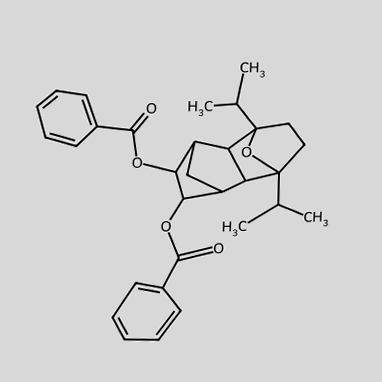 CC(C)C12CCC(C(C)C)(O1)C1C3CC(C(OC(=O)c4ccccc4)C3OC(=O)c3ccccc3)C12